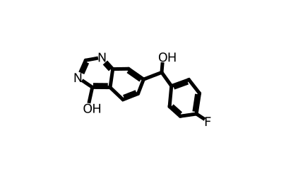 Oc1ncnc2cc(C(O)c3ccc(F)cc3)ccc12